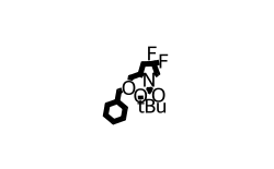 CC(C)(C)OC(=O)N1CC(F)(F)CC1COCC1CCCCC1